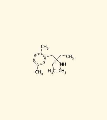 CCC(CC)(Cc1cc(C)ccc1C)NC